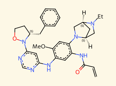 C=CC(=O)Nc1cc(Nc2cc(N3OCC[C@@H]3Cc3ccccc3)ncn2)c(OC)cc1N1C[C@@H]2C[C@H]1CN2CC